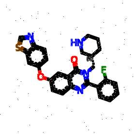 O=c1c2cc(Oc3ccc4ncsc4c3)ccc2nc(-c2ccccc2F)n1C[C@H]1CCCNC1